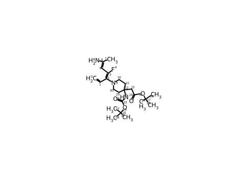 C=C/C(=C(F)\C=C(/C)N)N1CCC(CC(=O)OC(C)(C)C)(NC(=O)OC(C)(C)C)CC1